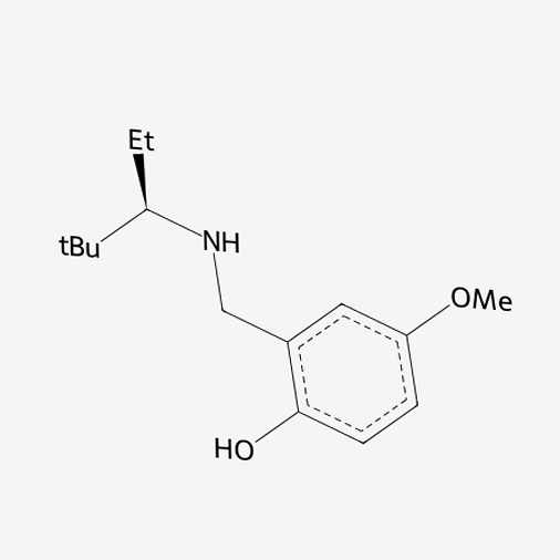 CC[C@@H](NCc1cc(OC)ccc1O)C(C)(C)C